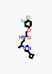 C=C(CCNC(=O)COc1ccc(Cl)c(F)c1)n1cnc(C2CCC2)c1